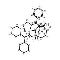 C[C@@H](P(C1CCCCC1)C1CCCCC1)C1(C2CCCCCC2)CCCC1[C@@H](c1ccccc1)N(C)C